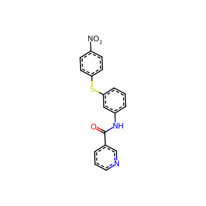 O=C(Nc1cccc(Sc2ccc([N+](=O)[O-])cc2)c1)c1cccnc1